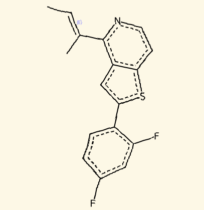 C/C=C(\C)c1nccc2sc(-c3ccc(F)cc3F)cc12